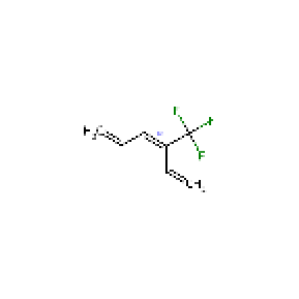 C=C/C=C(\C=C)C(F)(F)F